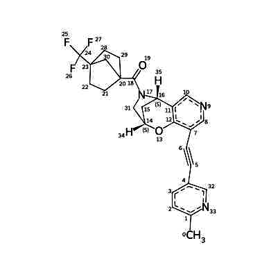 Cc1ccc(C#Cc2cncc3c2O[C@H]2C[C@@H]3N(C(=O)C34CCC(C(F)(F)F)(CC3)C4)C2)cn1